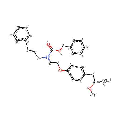 CCOC(Cc1ccc(OCCN(CCCc2ccccc2)C(=O)OCc2ccccc2)cc1)C(=O)O